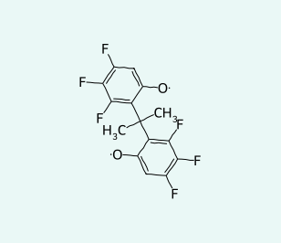 CC(C)(c1c([O])cc(F)c(F)c1F)c1c([O])cc(F)c(F)c1F